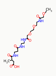 CCOCC(=O)NCCOCCOCC(=O)NCCNC(=O)CCNC(=O)C(C)CC(=O)O